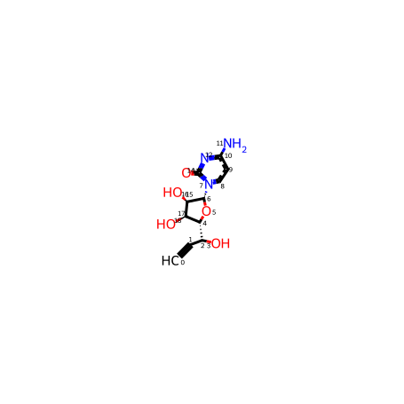 C#CC(O)[C@H]1O[C@@H](n2ccc(N)nc2=O)[C@H](O)[C@@H]1O